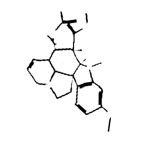 CC[C@]12C=CCN3CC[C@@]4(c5ccc(OC)cc5N(C)[C@H]4[C@@](O)(C(=O)OC)[C@@H]1OC(C)=O)[C@@H]32